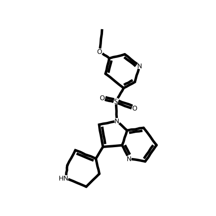 COc1cncc(S(=O)(=O)n2cc(C3=CCNCC3)c3ncccc32)c1